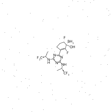 B[C@]1(O)C(F)=C(c2nc(N[C@H](C)C(F)(F)F)nc(N[C@H](C)C(F)(F)F)n2)CC[C@@H]1F